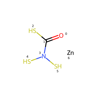 O=C(S)N(S)S.[Zn]